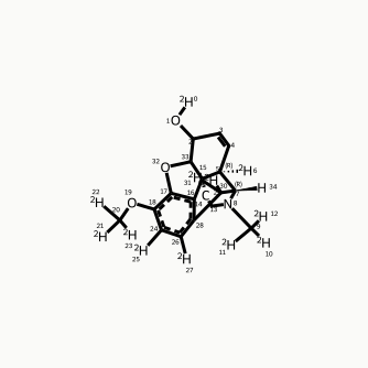 [2H]OC1C=C[C@@]2([2H])[C@@H]3N(C([2H])([2H])[2H])CC[C@@]24c2c(c(OC([2H])([2H])[2H])c([2H])c([2H])c2C3([2H])[2H])OC14